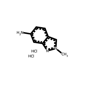 Cl.Cl.Cn1cc2ccc(N)cc2n1